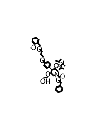 COc1ccccc1COCCCOc1ccc([C@@H]2[C@@H](OCCO)CN(C(=O)OCc3ccccc3)C[C@H]2O[Si](C(C)C)(C(C)C)C(C)C)cc1